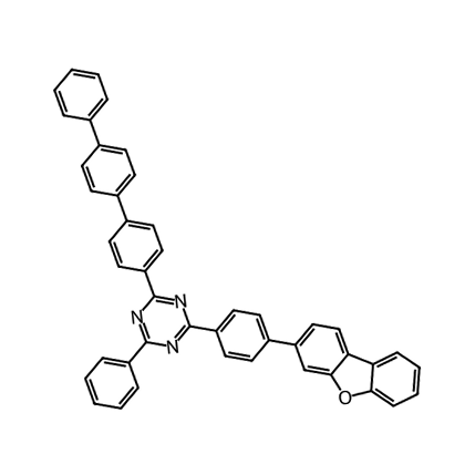 c1ccc(-c2ccc(-c3ccc(-c4nc(-c5ccccc5)nc(-c5ccc(-c6ccc7c(c6)oc6ccccc67)cc5)n4)cc3)cc2)cc1